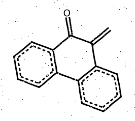 C=C1C(=O)c2ccccc2-c2ccccc21